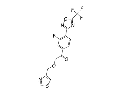 O=C(COCc1cscn1)c1ccc(-c2noc(C(F)(F)F)n2)c(F)c1